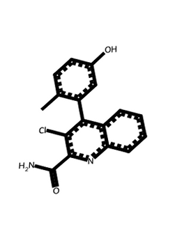 Cc1ccc(O)cc1-c1c(Cl)c(C(N)=O)nc2ccccc12